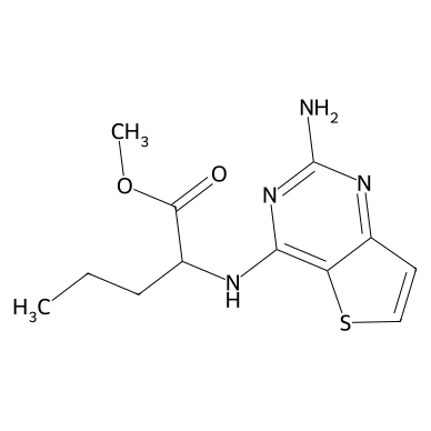 CCCC(Nc1nc(N)nc2ccsc12)C(=O)OC